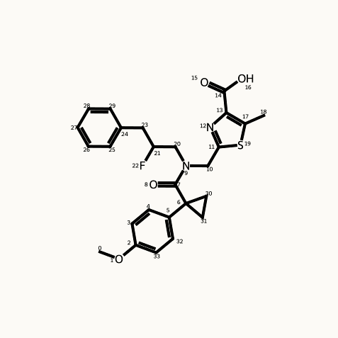 COc1ccc(C2(C(=O)N(Cc3nc(C(=O)O)c(C)s3)CC(F)Cc3ccccc3)CC2)cc1